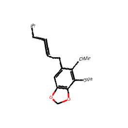 COc1c(C/C=C/CC(C)C)cc2c(c1OC)OCO2